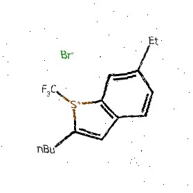 CCCCc1cc2ccc(CC)cc2[s+]1C(F)(F)F.[Br-]